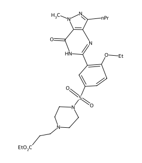 CCCc1nn(C)c2c(=O)[nH]c(-c3cc(S(=O)(=O)N4CCN(CCC(=O)OCC)CC4)ccc3OCC)nc12